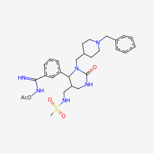 CC(=O)ONC(=N)c1cccc(C2C(CNS(C)(=O)=O)CNC(=O)N2CC2CCN(Cc3ccccc3)CC2)c1